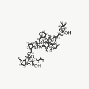 CCCOC(CO)OP(=O)(N=C1N(C)CCN1C)OCC1OCCC1OP(=O)(N=C1N(C)CCN1C)OCC1OCCC1OP(=O)(N=C1N(C)CCN1C)OCCCOP(=O)(O)OC(C)(C)C